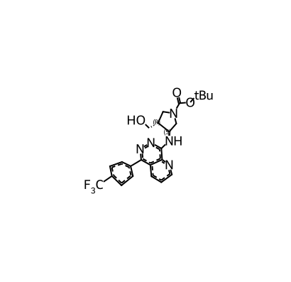 CC(C)(C)OC(=O)N1C[C@@H](CO)[C@H](Nc2nnc(-c3ccc(C(F)(F)F)cc3)c3cccnc23)C1